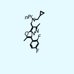 CCCN(Cc1c(C)nn2c(-c3ccc(F)cc3F)c(C)oc12)CC1CC1